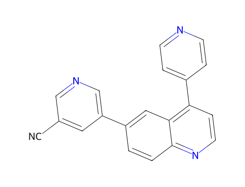 N#Cc1cncc(-c2ccc3nccc(-c4ccncc4)c3c2)c1